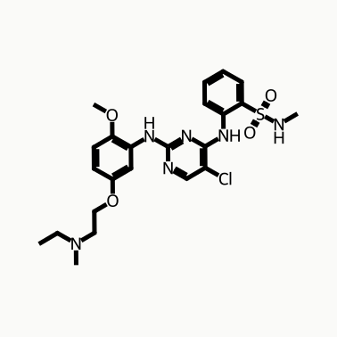 CCN(C)CCOc1ccc(OC)c(Nc2ncc(Cl)c(Nc3ccccc3S(=O)(=O)NC)n2)c1